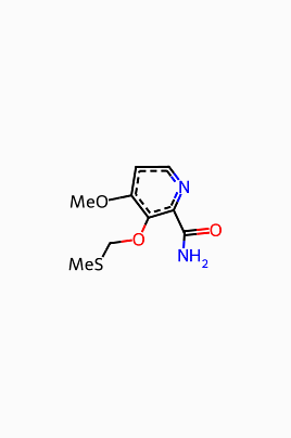 COc1ccnc(C(N)=O)c1OCSC